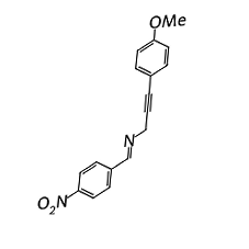 COc1ccc(C#CCN=Cc2ccc([N+](=O)[O-])cc2)cc1